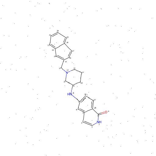 O=c1[nH]ccc2cc(NC3CCCN(Cc4ccc5ccccc5c4)C3)ccc12